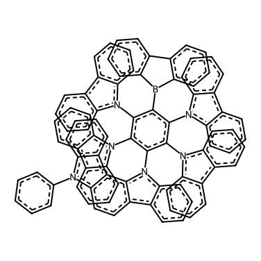 c1ccc(-n2c3ccccc3c3c2ccc2c4ccccc4n(-c4c(-n5c6ccccc6c6ccccc65)c(-n5c6ccccc6c6ccccc65)c(B5c6ccccc6-c6ccccc65)c(-n5c6ccccc6c6ccccc65)c4-n4c5ccccc5c5ccccc54)c23)cc1